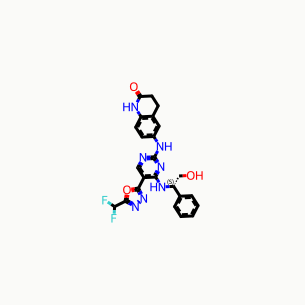 O=C1CCc2cc(Nc3ncc(-c4nnc(C(F)F)o4)c(N[C@H](CO)c4ccccc4)n3)ccc2N1